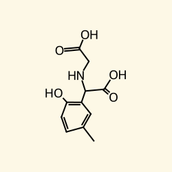 Cc1ccc(O)c(C(NCC(=O)O)C(=O)O)c1